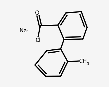 Cc1ccccc1-c1ccccc1C(=O)Cl.[Na]